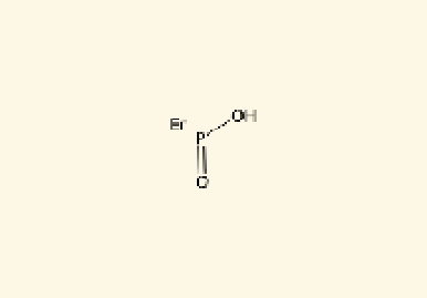 O=PO.[Er]